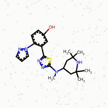 CN(c1nnc(-c2cc(O)ccc2-n2cccn2)s1)C1CC(C)(C)NC(C)(C)C1